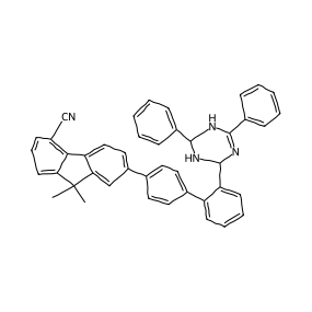 CC1(C)c2cc(-c3ccc(-c4ccccc4C4N=C(c5ccccc5)NC(c5ccccc5)N4)cc3)ccc2-c2c(C#N)cccc21